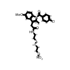 COc1ccc2c(c1)c(CC(=O)NCCSSCCO[N+](=O)[O-])c(C)n2C(=O)c1ccc(Cl)cc1